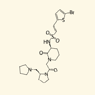 O=C1[C@@H](NS(=O)(=O)/C=C/c2ccc(Br)s2)CCCN1CC(=O)N1CCC[C@H]1CN1CCCC1